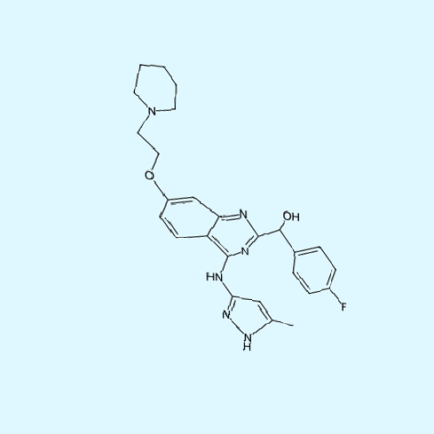 Cc1cc(Nc2nc(C(O)c3ccc(F)cc3)nc3cc(OCCN4CCCCC4)ccc23)n[nH]1